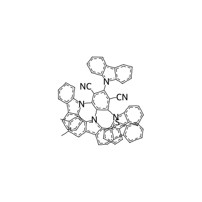 Cc1cc2c3ccc4c5ccccc5sc4c3n(-c3c(-n4c5ccccc5c5ccccc54)c(C#N)c(-n4c5ccccc5c5ccccc54)c(C#N)c3-n3c4ccccc4c4ccccc43)c2cc1C